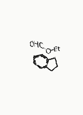 CCOC=O.c1ccc2c(c1)CCC2